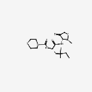 CCC(C)(C)C[C@H](NC(=O)N1CCOCC1)C(=O)N[C@@H]1C(=O)CO[C@H]1C